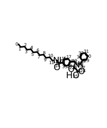 CCCCCCCCCCCCNC(=O)c1ccc(CN(C(=O)C(=O)O)[C@H](C)c2ccccc2)cc1